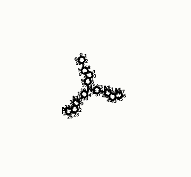 c1ccc(-c2ccc3c(ccc4cc(N(c5ccc(-c6cc7ccc8ccncc8c7cn6)cc5)c5ccc(-c6cc7ccc8cccnc8c7cn6)cc5)ccc43)c2)cc1